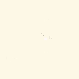 Oc1ccccc1/N=N/c1cc[c]([GaH2])cc1O